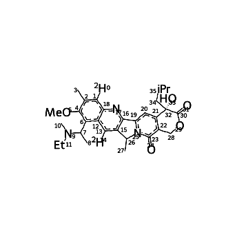 [2H]c1c(C)c(OC)c(C(C)N(C)CC)c2c([2H])c3c(nc12)-c1cc2c(c(=O)n1C3C)COC(=O)[C@]2(O)CC(C)C